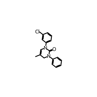 CC1=CN(c2cccc(Cl)c2)C(=O)N(c2ccccc2)C1